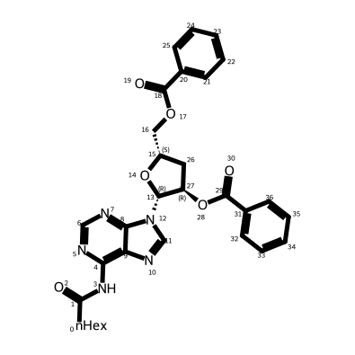 CCCCCCC(=O)Nc1ncnc2c1ncn2[C@@H]1O[C@H](COC(=O)c2ccccc2)C[C@H]1OC(=O)c1ccccc1